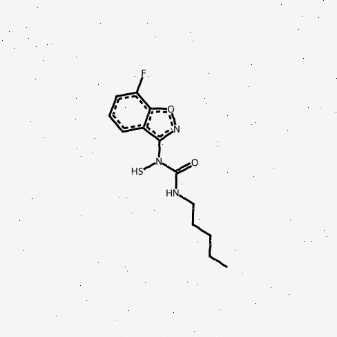 CCCCCNC(=O)N(S)c1noc2c(F)cccc12